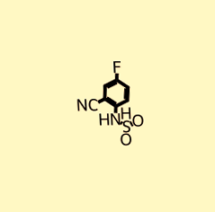 N#Cc1cc(F)ccc1N[SH](=O)=O